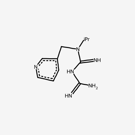 CC(C)N(Cc1cccnc1)C(=N)NC(=N)N